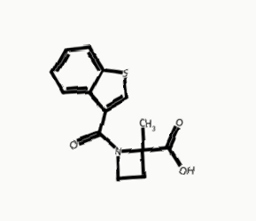 CC1(C(=O)O)CCN1C(=O)c1csc2ccccc12